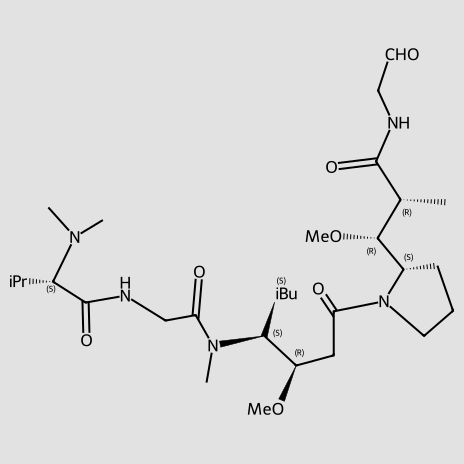 CC[C@H](C)[C@@H]([C@@H](CC(=O)N1CCC[C@H]1[C@H](OC)[C@@H](C)C(=O)NCC=O)OC)N(C)C(=O)CNC(=O)[C@H](C(C)C)N(C)C